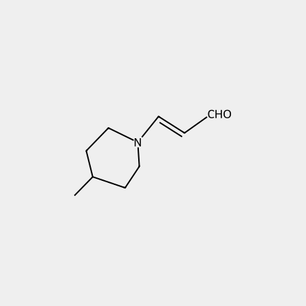 CC1CCN(C=CC=O)CC1